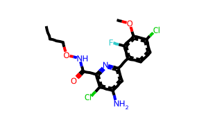 CCCONC(=O)c1nc(-c2ccc(Cl)c(OC)c2F)cc(N)c1Cl